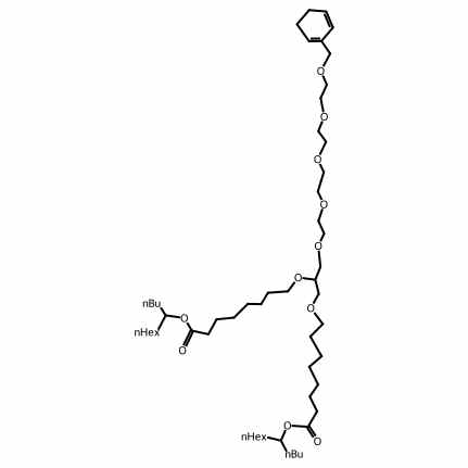 CCCCCCC(CCCC)OC(=O)CCCCCCCOCC(COCCOCCOCCOCCOCC1=CCCC=C1)OCCCCCCCC(=O)OC(CCCC)CCCCCC